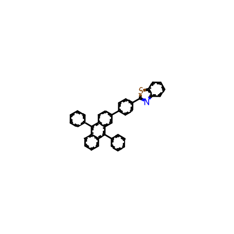 c1ccc(-c2c3ccccc3c(-c3ccccc3)c3cc(-c4ccc(-c5nc6ccccc6s5)cc4)ccc23)cc1